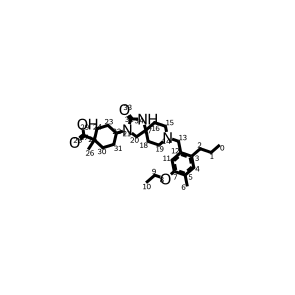 CCCc1cc(C)c(OCC)cc1CN1CCC2(CC1)CN(C1CCC(C)(C(=O)O)CC1)C(=O)N2